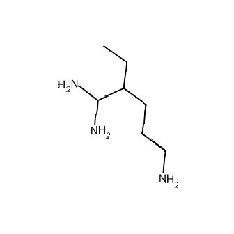 CCC(CCCN)C(N)N